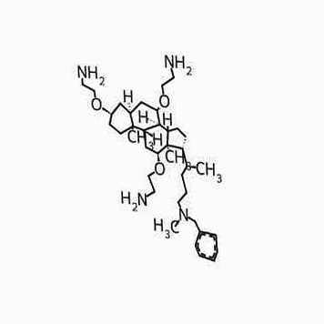 C[C@@H](CCCN(C)Cc1ccccc1)[C@H]1CC[C@H]2[C@@H]3[C@H](OCCN)C[C@@H]4C[C@H](OCCN)CC[C@]4(C)[C@H]3C[C@H](OCCN)[C@]12C